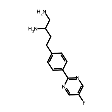 NCC(N)CCc1ccc(-c2ncc(F)cn2)cc1